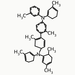 CC1=CCCC(N(c2cccc(C)c2)c2ccc(C3=C(C)CC(N(C4=CC(C)=CCC4)C4=CC(C)=CCC4C)C=C3)c(C)c2)=C1